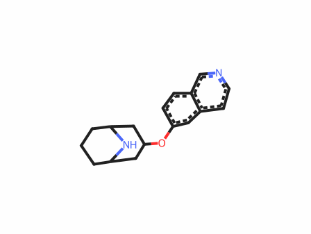 c1cc2cc(OC3CC4CCCC(C3)N4)ccc2cn1